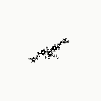 CC(N=CCn1cc[n+](C)c1)c1ccc(Nc2cc(O)c(N)nc2Nc2ccc(C(C)N=CCn3cc[n+](C)c3)cc2)cc1